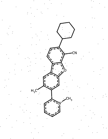 Cc1cc2c(cc1-c1cccc[n+]1C)oc1c(C#N)c(C3CCCCC3)ccc12